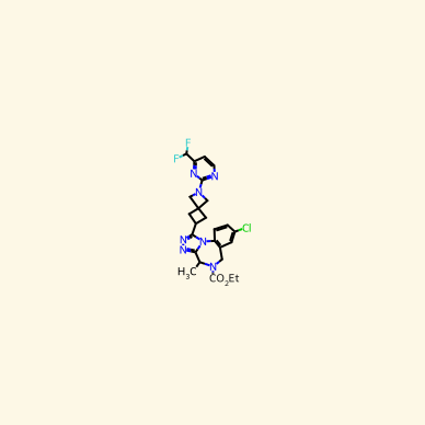 CCOC(=O)N1Cc2cc(Cl)ccc2-n2c(C3CC4(C3)CN(c3nccc(C(F)F)n3)C4)nnc2C1C